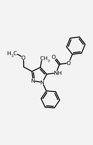 COCc1nn(-c2ccccc2)c(NC(=O)Oc2ccccc2)c1C